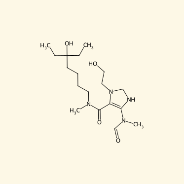 CCC(O)(CC)CCCCN(C)C(=O)C1=C(N(C)C=O)NCN1CCO